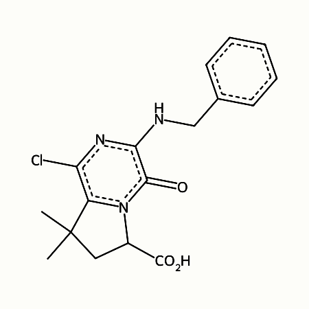 CC1(C)CC(C(=O)O)n2c1c(Cl)nc(NCc1ccccc1)c2=O